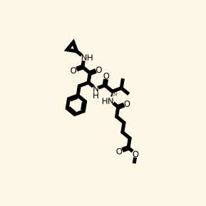 COC(=O)CCCCC(=O)N[C@H](C(=O)NC(Cc1ccccc1)C(=O)C(=O)NC1CC1)C(C)C